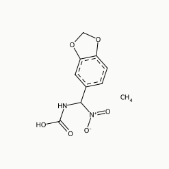 C.O=C(O)NC(c1ccc2c(c1)OCO2)[N+](=O)[O-]